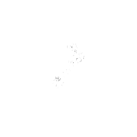 O=C1c2c(F)ccc(NCCCCCCCNC34CC5CC(CC(C5)C3)C4)c2CN1C1CCCNC1